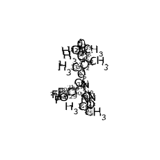 Cc1cc(OCc2nc(-c3cnc(OC(C)C)nc3)c(-c3ccc(OC(F)(F)F)cc3)o2)c(C)cc1CC(C)(C)C(=O)O